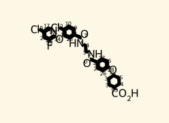 O=C(NCCNC(=O)c1ccc(Cl)c(Oc2ncc(Cl)cc2F)c1)c1ccc(O[C@H]2CC[C@@H](C(=O)O)CC2)cc1